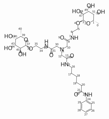 C[C@@H]1O[C@@H](OCCNC(=O)CN(CC(=O)NCCCCCC(=O)Nc2ccccc2)CC(=O)NCCO[C@@H]2O[C@@H](C)[C@@H](O)[C@@H](O)[C@@H]2O)[C@@H](O)[C@H](O)[C@@H]1O